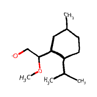 COC(C[O])C1CC(C)CCC1C(C)C